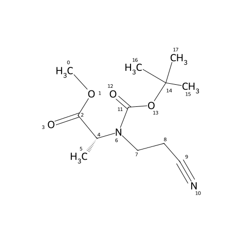 COC(=O)[C@@H](C)N(CCC#N)C(=O)OC(C)(C)C